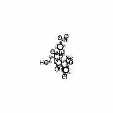 O=NC(=O)c1ccc(NC(=O)C(CCO)n2cc(O)c(-c3cc(Cl)ccc3-c3cnco3)cc2=O)cc1